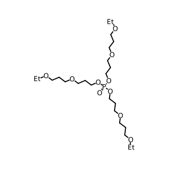 CCOCCCOCCCOP(=O)(OCCCOCCCOCC)OCCCOCCCOCC